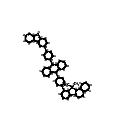 CC1(C)c2c(-c3ccc(-c4c5ccccc5c(-c5ccc(-c6ccc7oc8ccccc8c7c6)cc5)c5ccccc45)cc3)cccc2-c2ccc3ccccc3c21